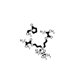 C=C(C)C(=O)OCCC[Si](C)(CCCOC(=O)C(=C)C)O[Si](C)(C)C.C=CN1CCCC1=O